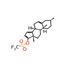 C[C@H]1CC[C@@]2(C)C(=CC[C@H]3C4=CC=C(OS(=O)(=O)C(F)(F)F)[C@@]4(C)CC[C@@H]32)C1